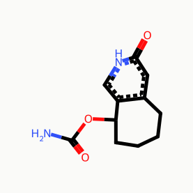 NC(=O)OC1CCCCc2cc(=O)[nH]cc21